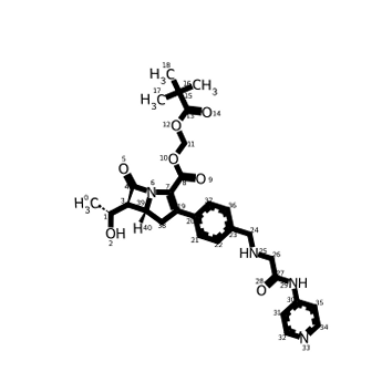 C[C@@H](O)[C@H]1C(=O)N2C(C(=O)OCOC(=O)C(C)(C)C)=C(c3ccc(CNCC(=O)Nc4ccncc4)cc3)C[C@H]12